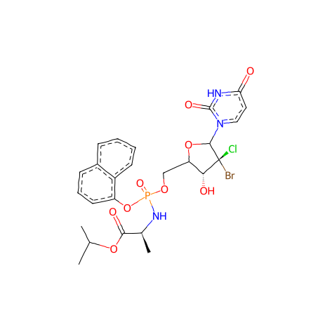 CC(C)OC(=O)[C@H](C)NP(=O)(OCC1OC(n2ccc(=O)[nH]c2=O)[C@](Cl)(Br)[C@@H]1O)Oc1cccc2ccccc12